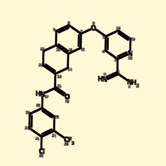 N=C(N)c1cc(Oc2ccc3c(c2)CC(C(=O)Nc2ccc(Cl)c(C(F)(F)F)c2)=CC3)ccn1